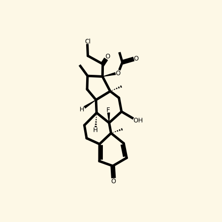 CC(=O)O[C@]1(C(=O)CCl)C(C)C[C@H]2[C@@H]3CCC4=CC(=O)C=C[C@]4(C)[C@@]3(F)C(O)C[C@@]21C